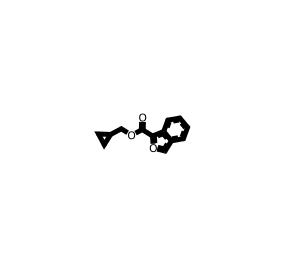 O=C(OCC1CC1)c1occ2ccccc12